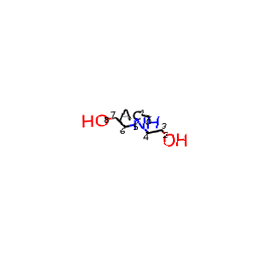 CC(C)=O.OCCNCCO